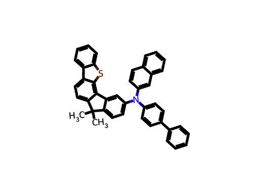 CC1(C)c2ccc(N(c3ccc(-c4ccccc4)cc3)c3ccc4ccccc4c3)cc2-c2c1ccc1c2sc2ccccc21